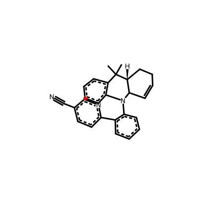 CC1(C)c2ccccc2N(c2ccccc2-c2ccc(C#N)cn2)C2C=CCC[C@H]21